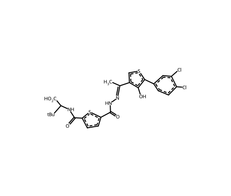 CC(=NNC(=O)c1ccc(C(=O)NC(C(=O)O)C(C)(C)C)s1)c1csc(-c2ccc(Cl)c(Cl)c2)c1O